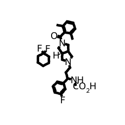 Cc1cccc(C)c1C(=O)N1CC2CN(CCC(NC(=O)O)c3cccc(F)c3)C[C@H]2C1.FC1(F)CCCCC1